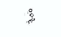 CS(=O)(=O)N1CC2=C(C1)N([C@H]1CO[C@H](c3cc(F)ccc3F)[C@@H](N)C1)CC2